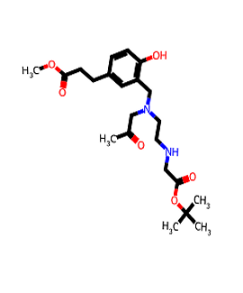 COC(=O)CCc1ccc(O)c(CN(CCNCC(=O)OC(C)(C)C)CC(C)=O)c1